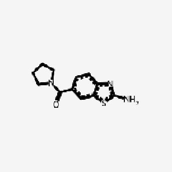 Nc1nc2ccc(C(=O)N3CCCC3)cc2s1